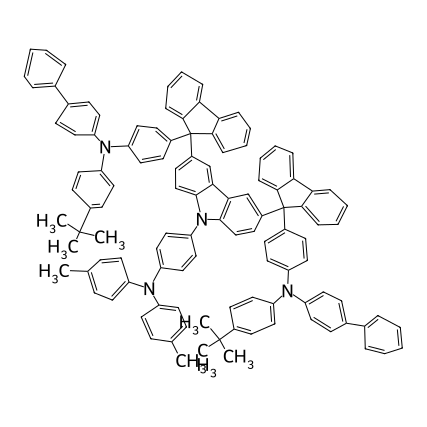 Cc1ccc(N(c2ccc(C)cc2)c2ccc(-n3c4ccc(C5(c6ccc(N(c7ccc(-c8ccccc8)cc7)c7ccc(C(C)(C)C)cc7)cc6)c6ccccc6-c6ccccc65)cc4c4cc(C5(c6ccc(N(c7ccc(-c8ccccc8)cc7)c7ccc(C(C)(C)C)cc7)cc6)c6ccccc6-c6ccccc65)ccc43)cc2)cc1